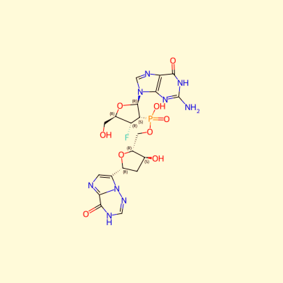 Nc1nc2c(ncn2[C@@H]2O[C@H](CO)[C@@H](F)[C@H]2P(=O)(O)OC[C@H]2O[C@@H](c3cnc4c(=O)[nH]cnn34)C[C@@H]2O)c(=O)[nH]1